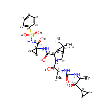 CC(C)C(NC(=O)NC(C(=O)N1CC2C(C1C(=O)NC1(C(=O)NS(=O)(=O)c3ccccc3)CC1)C2(C)C)C(C)(C)C)C(=O)C1CC1